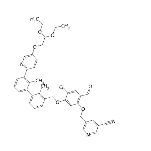 CCOC(COc1ccc(-c2cccc(-c3cccc(COc4cc(OCc5cncc(C#N)c5)c(C=O)cc4Cl)c3C)c2C)nc1)OCC